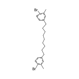 Cc1cc(CCCCCCCCCc2ccc(Br)c(C)c2)ccc1Br